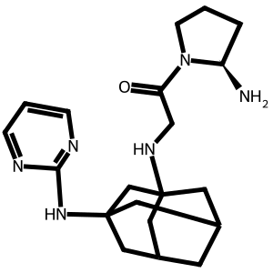 N[C@@H]1CCCN1C(=O)CNC12CC3CC(C1)CC(Nc1ncccn1)(C3)C2